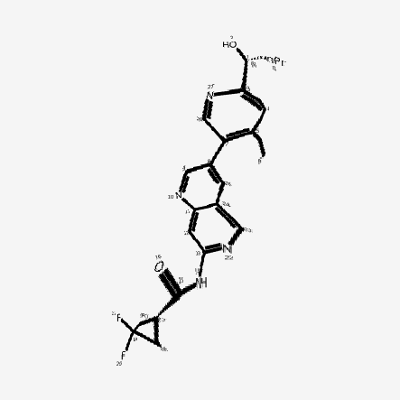 CCC[C@@H](O)c1cc(C)c(-c2cnc3cc(NC(=O)[C@H]4CC4(F)F)ncc3c2)cn1